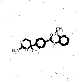 COc1ccccc1NC(=O)c1ccc(C2(C)CCSC(N)=N2)cc1